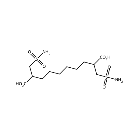 NS(=O)(=O)CC(CCCCCCC(CS(N)(=O)=O)C(=O)O)C(=O)O